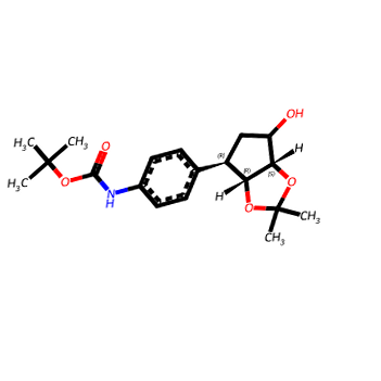 CC(C)(C)OC(=O)Nc1ccc([C@H]2CC(O)[C@@H]3OC(C)(C)O[C@H]23)cc1